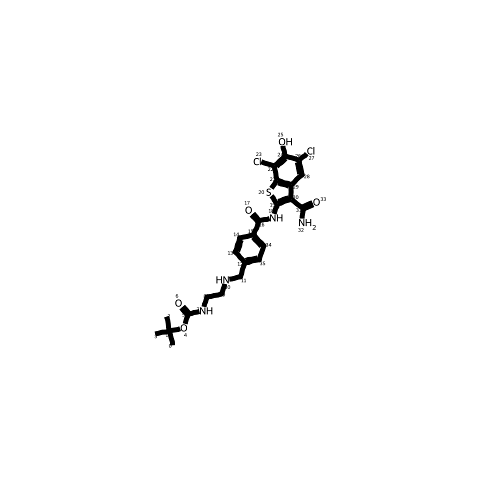 CC(C)(C)OC(=O)NCCNCc1ccc(C(=O)Nc2sc3c(Cl)c(O)c(Cl)cc3c2C(N)=O)cc1